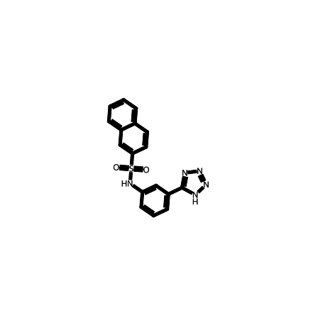 O=S(=O)(Nc1cccc(-c2nnn[nH]2)c1)c1ccc2ccccc2c1